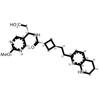 COc1ncc([C@H](CC(=O)O)NC(=O)[C@H]2C[C@H](CCc3ccc4c(n3)NCCC4)C2)cn1